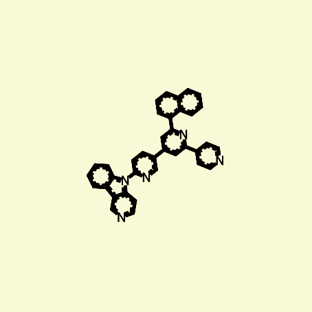 c1ccc2c(-c3cc(-c4ccc(-n5c6ccccc6c6cnccc65)nc4)cc(-c4ccncc4)n3)cccc2c1